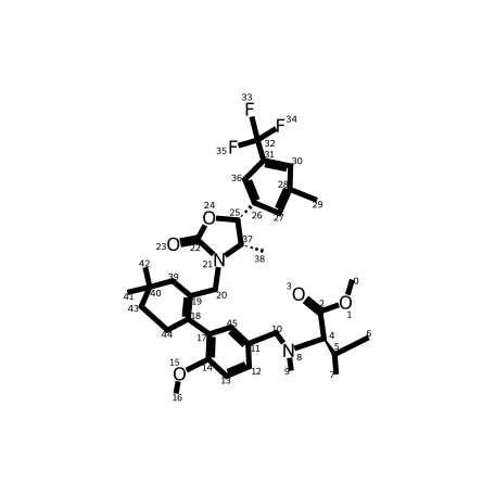 COC(=O)[C@@H](C(C)C)N(C)Cc1ccc(OC)c(C2=C(CN3C(=O)O[C@H](c4cc(C)cc(C(F)(F)F)c4)[C@@H]3C)CC(C)(C)CC2)c1